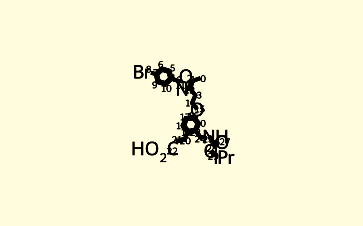 Cc1oc(-c2ccc(Br)cc2)nc1CCOc1ccc(CCC(=O)O)c(CNC(=O)OC(C)C)c1